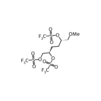 COC[C@H](CC[C@H](COS(=O)(=O)C(F)(F)F)OS(=O)(=O)C(F)(F)F)OS(=O)(=O)C(F)(F)F